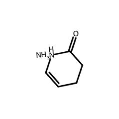 N.O=C1CCC=CN1